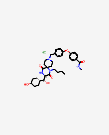 CCCCN1C(=O)[C@@H]([C@H](O)[C@H]2CC[C@H](O)CC2)NC(=O)C12CCN(Cc1ccc(Oc3ccc(C(=O)NC)cc3)cc1)CC2.Cl